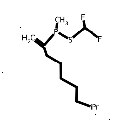 C=C(CCCCCC(C)C)P(C)SC(F)F